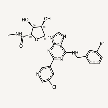 CNC(=O)[C@H]1O[C@@H](n2cnc3c(NCc4cccc(Br)c4)nc(-c4cncc(Cl)c4)nc32)[C@H](O)[C@@H]1O